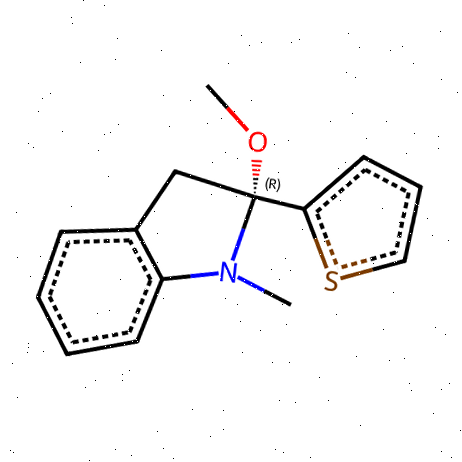 CO[C@@]1(c2cccs2)Cc2ccccc2N1C